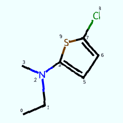 CCN(C)c1ccc(Cl)s1